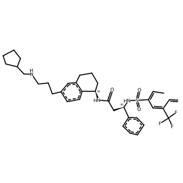 C=CC(=CC(=CC)S(=O)(=O)N[C@H](CC(=O)N[C@@H]1CCCc2cc(CCCNCC3CCCC3)ccc21)c1ccccc1)C(F)(F)F